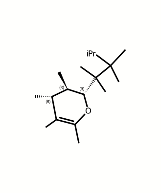 CC1=C(C)[C@H](C)[C@@H](C)[C@H](C(C)(C)C(C)(C)C(C)C)O1